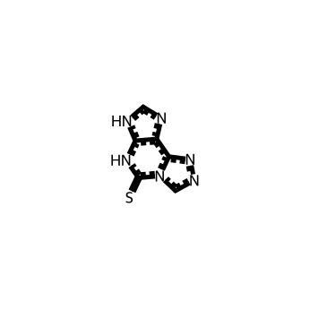 S=c1[nH]c2[nH]cnc2c2nncn12